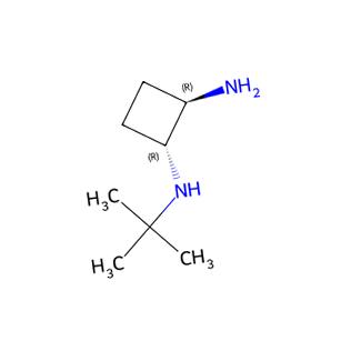 CC(C)(C)N[C@@H]1CC[C@H]1N